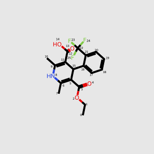 CCOC(=O)C1=C(C)NC(C)=C(C(=O)O)C1c1ccccc1C(F)(F)F